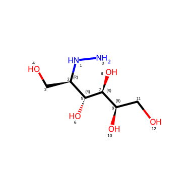 NN[C@H](CO)[C@@H](O)[C@@H](O)[C@H](O)CO